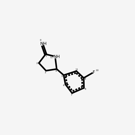 N=C1CCC(c2cccc(F)c2)N1